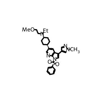 CCN(CCOC)[C@H]1CC[C@@H](c2cnc3c(c2)c(-c2cnn(C)c2)cn3S(=O)(=O)c2ccccc2)CC1